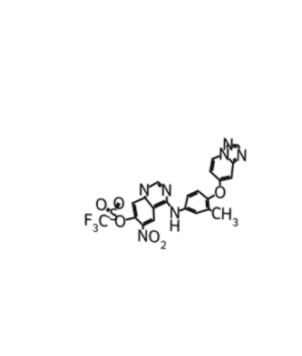 Cc1cc(Nc2ncnc3cc(OS(=O)(=O)C(F)(F)F)c([N+](=O)[O-])cc23)ccc1Oc1ccn2ncnc2c1